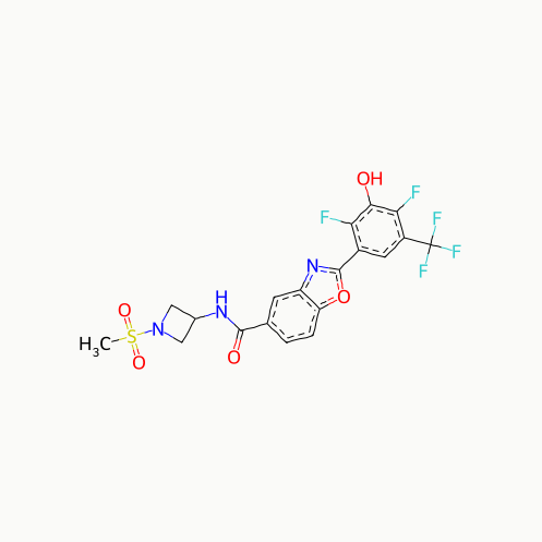 CS(=O)(=O)N1CC(NC(=O)c2ccc3oc(-c4cc(C(F)(F)F)c(F)c(O)c4F)nc3c2)C1